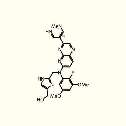 CN/C=C(\C=N)c1cnc2ccc(N(Cc3nc(CO)c[nH]3)c3cc(OC)cc(OC)c3F)nc2n1